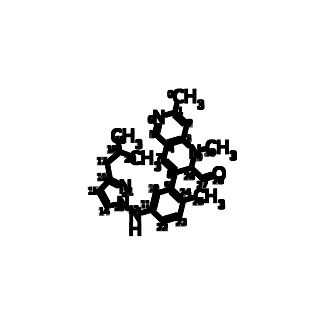 Cc1cc2c(cn1)C=C(c1cc(Nn3ccc(CC(C)C)n3)ccc1C)C(C=O)N2C